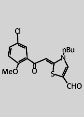 CCCCN1C=C(C=O)S/C1=C\C(=O)c1cc(Cl)ccc1OC